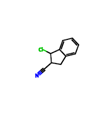 N#CC1Cc2ccccc2C1Cl